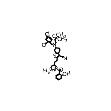 CCC(CCc1sc2c(c1C#N)CCC(N(CCC(C)(C)C)Cc1ccc(Cl)cc1Cl)C2)CNC(=O)c1ccccc1O